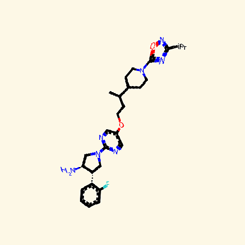 CC(C)c1noc(N2CCC(C(C)CCOc3cnc(N4C[C@H](c5ccccc5F)[C@@H](N)C4)nc3)CC2)n1